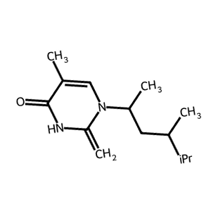 C=C1NC(=O)C(C)=CN1C(C)CC(C)C(C)C